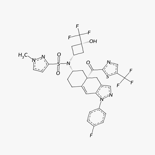 Cn1ccc(S(=O)(=O)N([C@H]2CCC3=Cc4c(cnn4-c4ccc(F)cc4)C[C@]3(C(=O)c3ncc(C(F)(F)F)s3)C2)[C@H]2C[C@](O)(C(F)(F)F)C2)n1